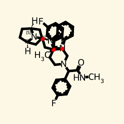 CNC(=O)C(c1ccc(F)cc1)N1CCC(CCN2[C@@H]3CC[C@H]2C[C@@H](n2c(C)nc4ccccc42)C3)(c2cccc(F)c2)CC1